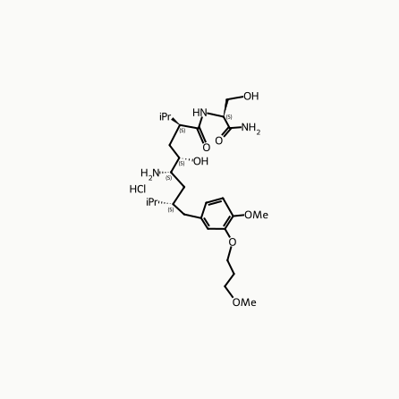 COCCCOc1cc(C[C@@H](C[C@H](N)[C@@H](O)C[C@H](C(=O)N[C@@H](CO)C(N)=O)C(C)C)C(C)C)ccc1OC.Cl